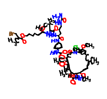 C=C(CBr)C(=O)OCCCCCC(=O)N[C@H](C(=O)N[C@@H](CCCNC(N)=O)C(=O)Nc1ccc(NC(=O)O[C@H]2CC(=O)N(C)c3cc(cc(OC)c3Cl)C/C(C)=C/C=C/[C@@H](OC)[C@@]3(O)C[C@H](OC(=O)N3)[C@@H](C)[C@@H]3O[C@@]23C)cc1)C(C)C